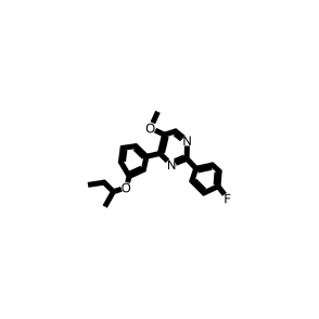 CCC(C)Oc1cccc(-c2nc(-c3ccc(F)cc3)ncc2OC)c1